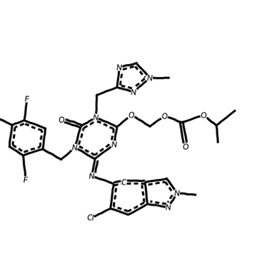 CC(C)OC(=O)OCOc1nc(=Nc2cc3cn(C)nc3cc2Cl)n(Cc2cc(F)c(F)cc2F)c(=O)n1Cc1ncn(C)n1